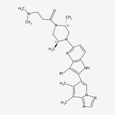 Cc1c(-c2[nH]c3ccc(N4C[C@@H](C)N(C(=O)CCN(C)C)C[C@@H]4C)nc3c2C(C)C)cn2ncnc2c1C